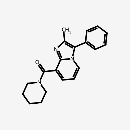 Cc1nc2c(C(=O)N3CCCCC3)cccn2c1-c1ccccc1